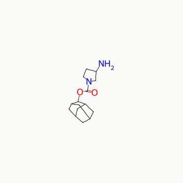 NC1CCN(C(=O)OC2C3CC4CC(C3)CC2C4)C1